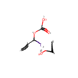 C#CC(I)OC(=O)O.CCO